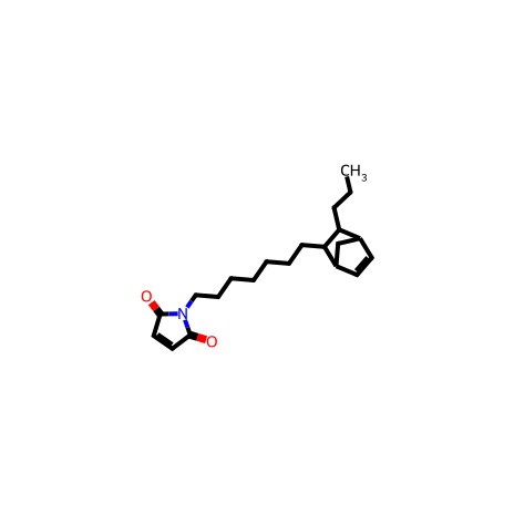 CCCC1C2C=CC(C2)C1CCCCCCCN1C(=O)C=CC1=O